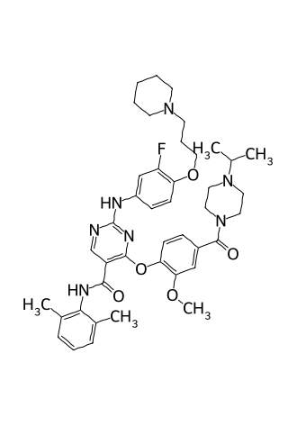 COc1cc(C(=O)N2CCN(C(C)C)CC2)ccc1Oc1nc(Nc2ccc(OCCCN3CCCCC3)c(F)c2)ncc1C(=O)Nc1c(C)cccc1C